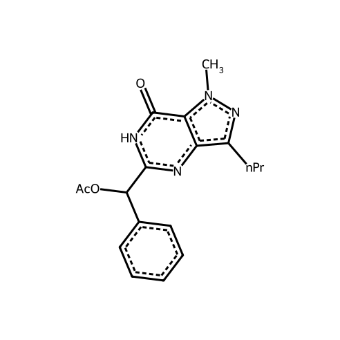 CCCc1nn(C)c2c(=O)[nH]c(C(OC(C)=O)c3ccccc3)nc12